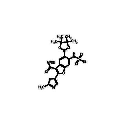 CCS(=O)(=O)Nc1cc2oc(-c3cnc(C)s3)c(C(=O)NC)c2cc1B1OC(C)(C)C(C)(C)O1